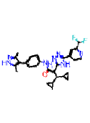 Cc1n[nH]c(C)c1-c1ccc(NC(=O)C(c2nnc(-c3ccnc(C(F)F)c3)[nH]2)C(C2CC2)C2CC2)cc1